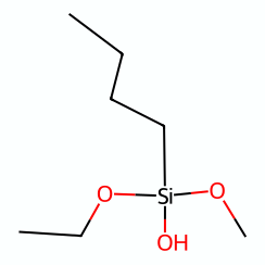 CCCC[Si](O)(OC)OCC